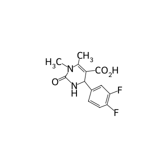 CC1=C(C(=O)O)C(c2ccc(F)c(F)c2)NC(=O)N1C